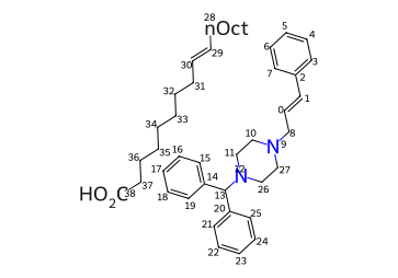 C(=Cc1ccccc1)CN1CCN(C(c2ccccc2)c2ccccc2)CC1.CCCCCCCCC=CCCCCCCCC(=O)O